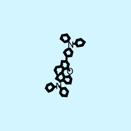 c1ccc(N(c2ccccc2)c2ccc(-c3cc4c5c(ccc6cc(N(c7ccccc7)c7ccccc7)c7cccc(c7c65)O4)c3)cc2)cc1